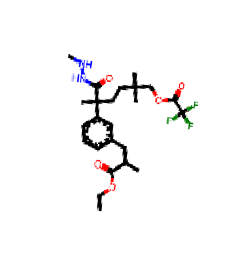 CCOC(=O)C(C)Cc1cccc(C(C)(CCC(C)(C)COC(=O)C(F)(F)F)C(=O)NNC)c1